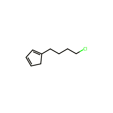 ClCCCCC1=CC=CC1